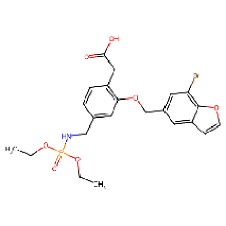 CCOP(=O)(NCc1ccc(CC(=O)O)c(OCc2cc(Br)c3occc3c2)c1)OCC